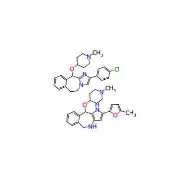 CN1CCC(OC2c3ccccc3CCn3cc(-c4ccc(Cl)cc4)nc32)CC1.Cc1ccc(-c2cc3c([nH]2)C(OC2CCN(C)CC2)c2ccccc2CN3)o1